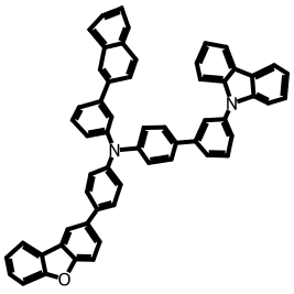 c1cc(-c2ccc3ccccc3c2)cc(N(c2ccc(-c3cccc(-n4c5ccccc5c5ccccc54)c3)cc2)c2ccc(-c3ccc4oc5ccccc5c4c3)cc2)c1